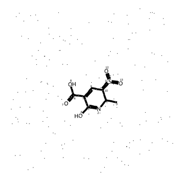 CC1N=C(O)C(C(=O)O)=CC1=S(=O)=O